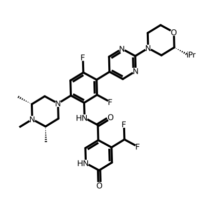 CC(C)[C@@H]1CN(c2ncc(-c3c(F)cc(N4C[C@@H](C)N(C)[C@@H](C)C4)c(NC(=O)c4c[nH]c(=O)cc4C(F)F)c3F)cn2)CCO1